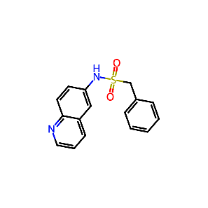 O=S(=O)(Cc1ccccc1)Nc1ccc2ncccc2c1